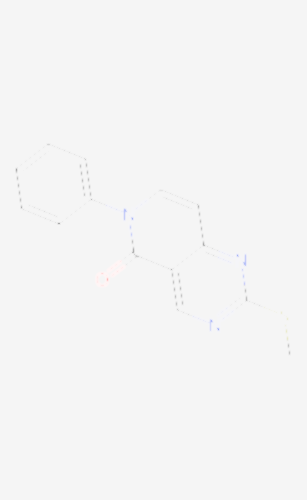 CSc1ncc2c(=O)n(-c3ccccc3)ccc2n1